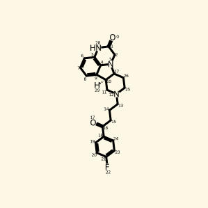 O=C1CN2c3c(cccc3[C@@H]3CN(CCCC(=O)c4ccc(F)cc4)CCC32)N1